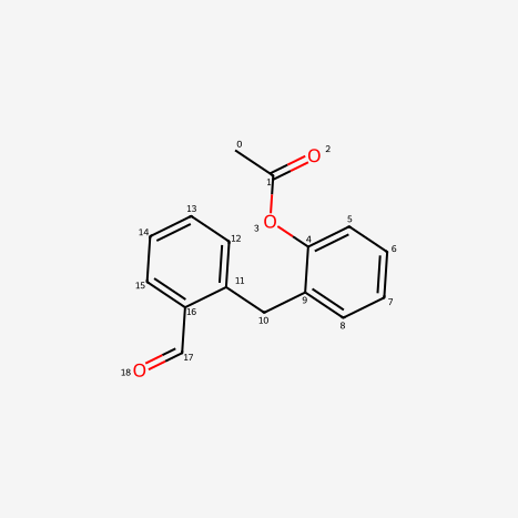 CC(=O)Oc1ccccc1Cc1ccccc1C=O